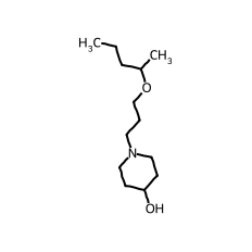 CCCC(C)OCCCN1CCC(O)CC1